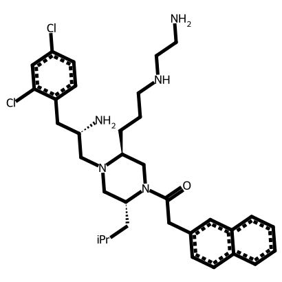 CC(C)C[C@@H]1CN(C[C@@H](N)Cc2ccc(Cl)cc2Cl)[C@@H](CCCNCCN)CN1C(=O)Cc1ccc2ccccc2c1